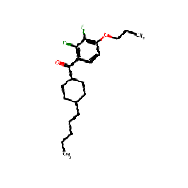 CCCCCC1CCC(C(=O)c2ccc(OCCC)c(F)c2F)CC1